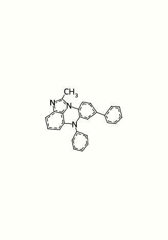 Cc1nc2cccc3c2n1-c1ccc(-c2ccccc2)cc1N3c1ccccc1